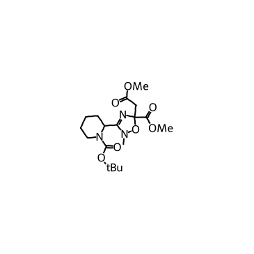 COC(=O)CC1(C(=O)OC)N=C(C2CCCCN2C(=O)OC(C)(C)C)N(C)O1